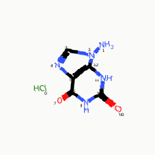 Cl.Nn1cnc2c(=O)[nH]c(=O)[nH]c21